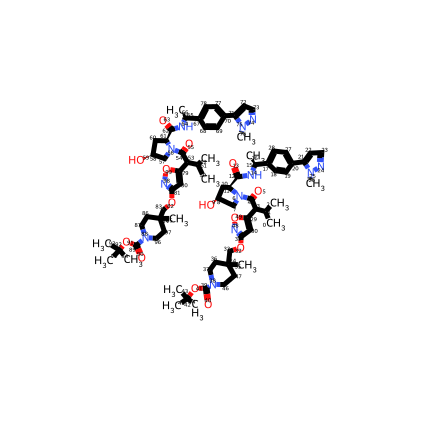 CC(C)C(C(=O)N1C[C@H](O)C[C@H]1C(=O)N[C@@H](C)c1ccc(-c2ccnn2C)cc1)c1cc(OCC2(C)CCN(C(=O)OC(C)(C)C)CC2)no1.CC(C)C(C(=O)N1C[C@H](O)C[C@H]1C(=O)N[C@@H](C)c1ccc(-c2ccnn2C)cc1)c1cc(OCC2(C)CCN(C(=O)OC(C)(C)C)CC2)no1